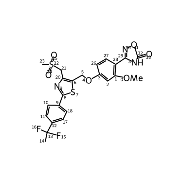 COc1cc(OCc2sc(-c3ccc(C(C)(F)F)cc3)nc2CS(C)(=O)=O)ccc1-c1noc(=O)[nH]1